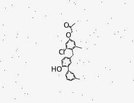 CC(=O)COc1cc(C)c(Cc2ccc(O)c(-c3cccc(C)c3)c2)c(Cl)c1